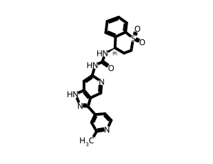 Cc1cc(-c2n[nH]c3cc(NC(=O)N[C@@H]4CCS(=O)(=O)c5ccccc54)ncc23)ccn1